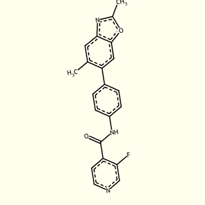 Cc1nc2cc(C)c(-c3ccc(NC(=O)c4ccncc4F)cc3)cc2o1